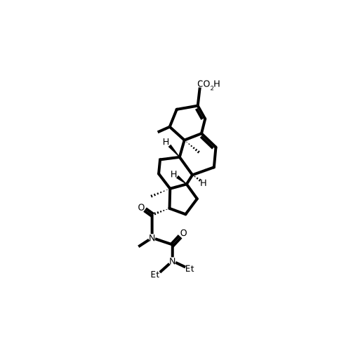 CCN(CC)C(=O)N(C)C(=O)[C@H]1CC[C@H]2[C@@H]3CC=C4C=C(C(=O)O)CC(C)[C@]4(C)[C@H]3CC[C@]12C